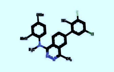 COc1ccc(N(C)c2nnc(C)c3cc(-c4cc(Cl)cc(F)c4C#N)ccc23)c(OC)c1